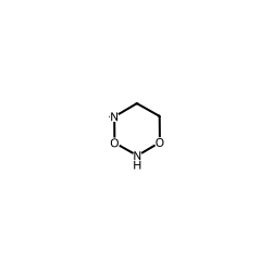 C1CONO[N]1